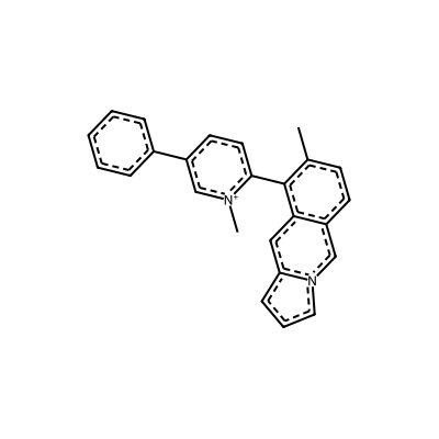 Cc1ccc2cn3cccc3cc2c1-c1ccc(-c2ccccc2)c[n+]1C